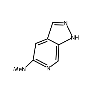 CNc1cc2cn[nH]c2cn1